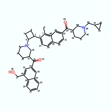 Cc1c(C2CCC2N2CCCC(C(=O)c3cc(CO)c4ccccc4c3)C2)ccc2ccc(C(=O)C3CCCN(CC4CC4)C3)cc12